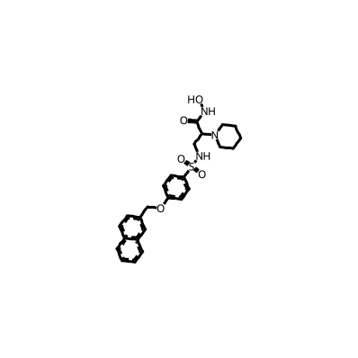 O=C(NO)C(CNS(=O)(=O)c1ccc(OCc2ccc3ccccc3c2)cc1)N1CCCCC1